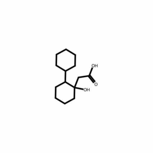 O=C(O)CC1(O)CCCCC1C1CCCCC1